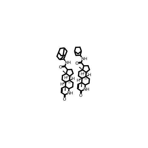 C[C@]12C=CC(=O)NC1CC[C@@H]1[C@H]2CC[C@]2(C)C(C(=O)NC3C4CC5CC(C4)CC3C5)CC[C@@H]12.C[C@]12C=CC(=O)NC1CC[C@@H]1[C@H]2CC[C@]2(C)C(C(=O)NC3CC4CCC3C4)CC[C@@H]12